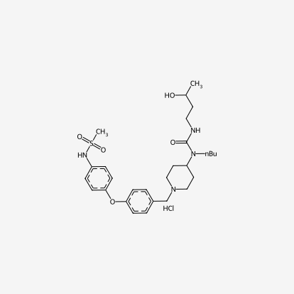 CCCCN(C(=O)NCCC(C)O)C1CCN(Cc2ccc(Oc3ccc(NS(C)(=O)=O)cc3)cc2)CC1.Cl